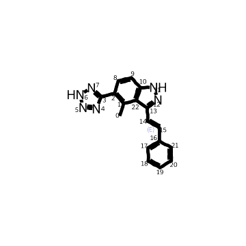 Cc1c(-c2nn[nH]n2)ccc2[nH]nc(/C=C/c3ccccc3)c12